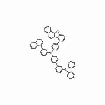 c1cc(-c2cccc3ccccc23)cc(N(c2ccc(-c3cccc(-n4c5ccccc5c5ccccc54)c3)cc2)c2ccc(-c3cccc4oc5c6ccccc6ccc5c34)cc2)c1